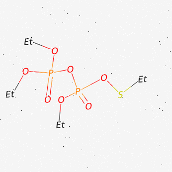 CCOP(=O)(OCC)OP(=O)(OCC)OSCC